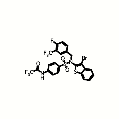 O=C(Nc1ccc(S(=O)(=O)N(Cc2ccc(F)c(C(F)(F)F)c2)c2sc3ccccc3c2Br)cc1)C(F)(F)F